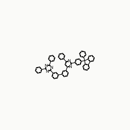 c1ccc(-c2cc(-c3cccc(-c4cccc(-c5nc(-c6ccccc6)nc(-c6ccccc6)n5)c4)c3)nc(-c3ccc(C4(c5ccccc5)c5ccccc5-c5ccccc54)cc3)n2)cc1